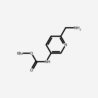 CC(C)(C)OC(=O)Nc1ccc(CN)nc1